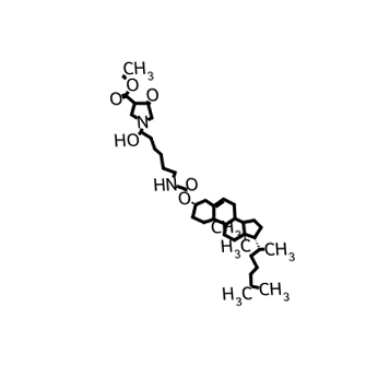 CCOC(=O)C1CN(C(O)CCCCCNC(=O)O[C@H]2CC[C@@]3(C)C(=CCC4C3CC[C@@]3(C)C4CC[C@@H]3C(C)CCCC(C)C)C2)CC1=O